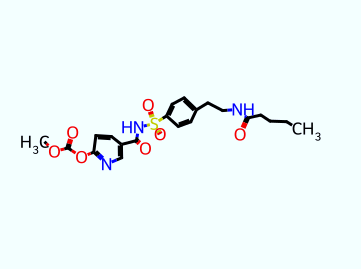 CCCCC(=O)NCCc1ccc(S(=O)(=O)NC(=O)c2ccc(OC(=O)OC)nc2)cc1